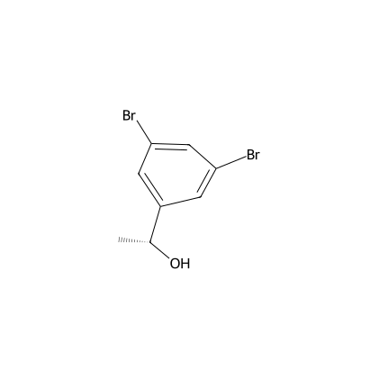 C[C@@H](O)c1cc(Br)cc(Br)c1